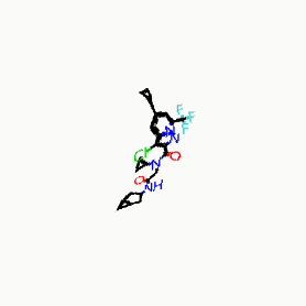 O=C(CN(C(=O)c1nn2c(C(F)(F)F)cc(C3CC3)cc2c1Cl)C1CC1)NC1CC2CC2C1